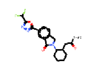 CCCCCCC(=O)CC1CCCC[C@H]1N1Cc2ccc(-c3nnc(C(F)F)o3)cc2C1=O